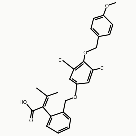 COc1ccc(COc2c(Cl)cc(OCc3ccccc3C(C(=O)O)=C(C)C)cc2Cl)cc1